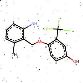 Cc1cccc(N)c1COc1ccc(O)cc1C(F)(F)F